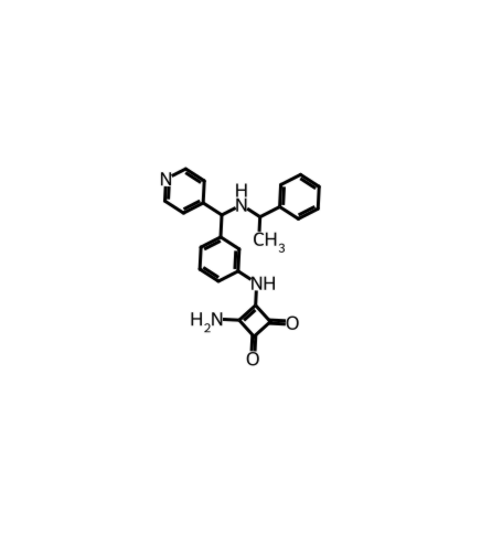 CC(NC(c1ccncc1)c1cccc(Nc2c(N)c(=O)c2=O)c1)c1ccccc1